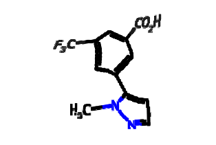 Cn1nccc1-c1cc(C(=O)O)cc(C(F)(F)F)c1